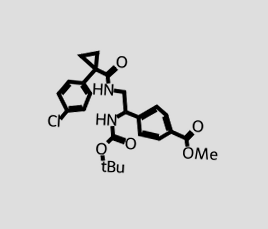 COC(=O)c1ccc(C(CNC(=O)C2(c3ccc(Cl)cc3)CC2)NC(=O)OC(C)(C)C)cc1